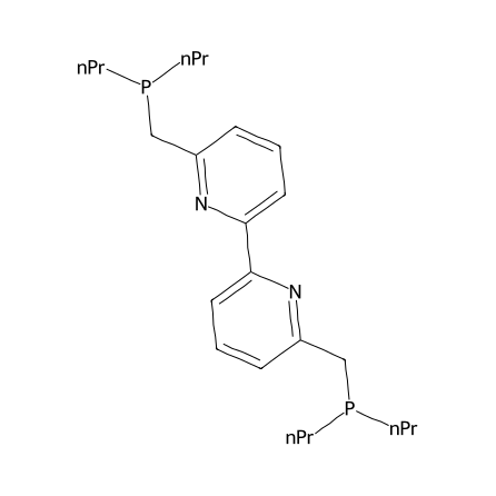 CCCP(CCC)Cc1cccc(-c2cccc(CP(CCC)CCC)n2)n1